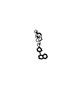 O=c1ccn2c(n1)O[C@H](COc1ccc(-c3cccc4ccccc34)cc1)C2